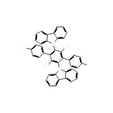 Cc1ccc(-c2c(C#N)c(-n3c4ccccc4c4ccccc43)c(-c3ccc(C)cc3)c(C#N)c2-n2c3ccccc3c3ccccc32)cc1